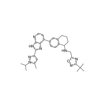 Cc1cc(-c2nc3c(-c4ccc5c(c4)CCCC5NCc4nc(C(C)(C)C)no4)ccnc3[nH]2)nn1C(C)C